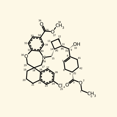 CCOC(=O)[C@@H]1CC=C([C@@H](O)[C@@H]2CC[C@H]2CN2CC3(CCCc4cc(Cl)ccc43)COc3ccc(C(=O)OC)cc32)CC1